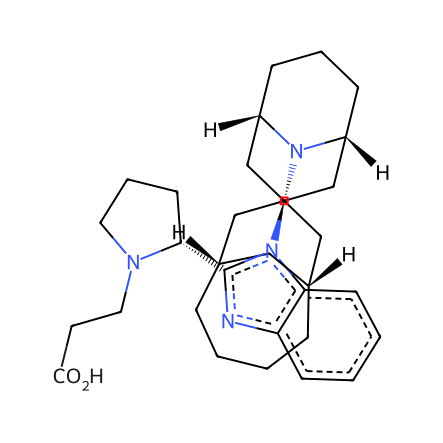 O=C(O)CCN1CCC[C@@H]1c1nc2ccccc2n1[C@@H]1C[C@H]2CCC[C@@H](C1)N2[C@@H]1C[C@@H]2CCCC[C@@H](C2)C1